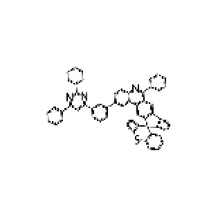 c1ccc(-c2cc(-c3cccc(-c4ccc5nc(-c6ccccc6)c6cc7c(cc6c5c4)C4(c5ccccc5Sc5ccccc54)c4ccccc4-7)c3)nc(-c3ccccc3)n2)cc1